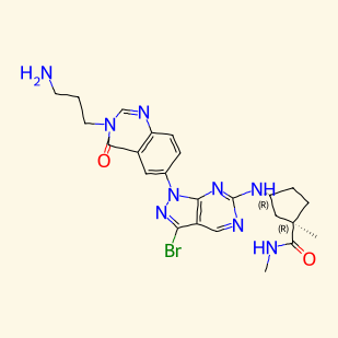 CNC(=O)[C@]1(C)CC[C@@H](Nc2ncc3c(Br)nn(-c4ccc5ncn(CCCN)c(=O)c5c4)c3n2)C1